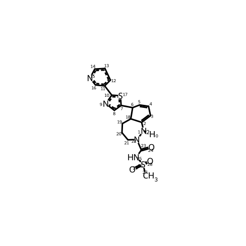 [2H]N1C2=CC=CC(c3cnc(-c4cccnc4)s3)C2CCCN1C(=O)NS(C)(=O)=O